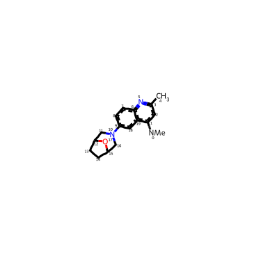 CNc1cc(C)nc2ccc(N3CC4CCC(C3)O4)cc12